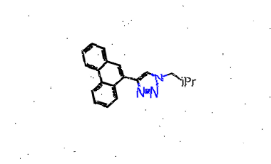 CC(C)Cn1cc(-c2cc3ccccc3c3ccccc23)nn1